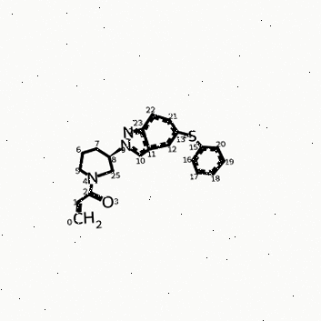 C=CC(=O)N1CCC[C@@H](n2cc3cc(Sc4ccccc4)ccc3n2)C1